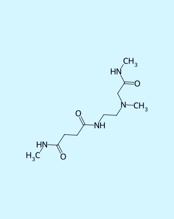 CNC(=O)CCC(=O)NCCN(C)CC(=O)NC